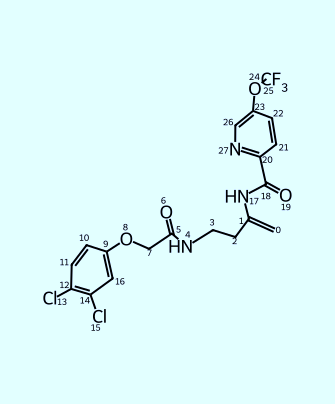 C=C(CCNC(=O)COc1ccc(Cl)c(Cl)c1)NC(=O)c1ccc(OC(F)(F)F)cn1